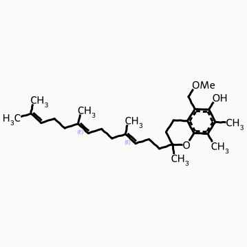 COCc1c(O)c(C)c(C)c2c1CCC(C)(CC/C=C(\C)CC/C=C(\C)CCC=C(C)C)O2